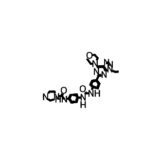 CCn1nnc2c(N3CCOCC3)nc(-c3ccc(NC(=O)Nc4ccc(NC(=O)N5CCN(C)CC5)cc4)cc3)nc21